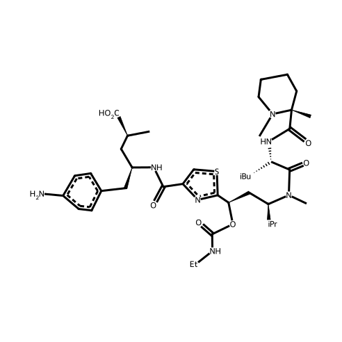 CCNC(=O)O[C@H](C[C@H](C(C)C)N(C)C(=O)[C@@H](NC(=O)[C@@]1(C)CCCCN1C)[C@@H](C)CC)c1nc(C(=O)N[C@@H](Cc2ccc(N)cc2)C[C@H](C)C(=O)O)cs1